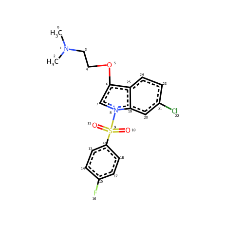 CN(C)CCOc1cn(S(=O)(=O)c2ccc(F)cc2)c2cc(Cl)ccc12